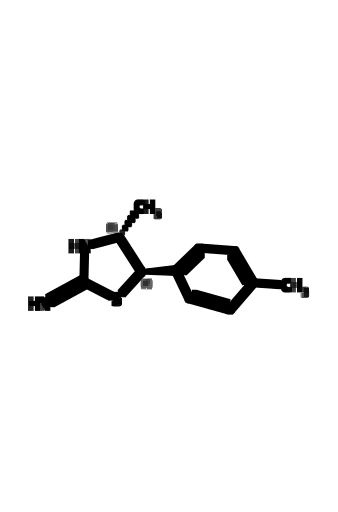 Cc1ccc([C@H]2SC(=N)N[C@@H]2C)cc1